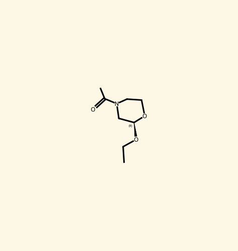 CCO[C@H]1CN(C(C)=O)CCO1